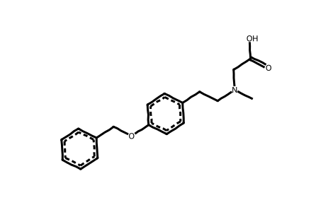 CN(CCc1ccc(OCc2ccccc2)cc1)CC(=O)O